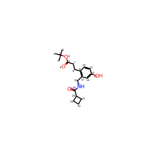 CC(C)(C)OC(=O)CCc1ccc(O)cc1CNC(=O)C1CCC1